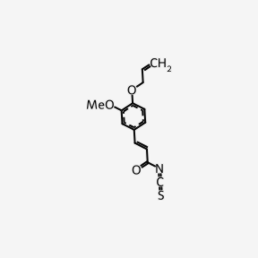 C=CCOc1ccc(/C=C/C(=O)N=C=S)cc1OC